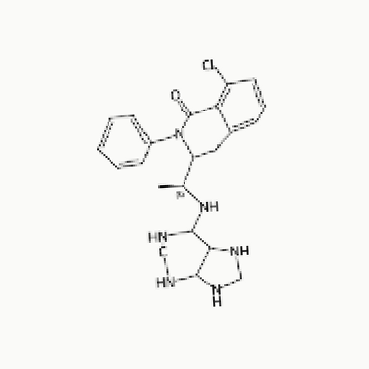 C[C@H](NC1NCNC2NCNC21)C1Cc2cccc(Cl)c2C(=O)N1c1ccccc1